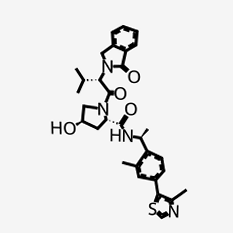 Cc1cc(-c2scnc2C)ccc1[C@H](C)NC(=O)[C@@H]1C[C@@H](O)CN1C(=O)[C@H](C(C)C)N1Cc2ccccc2C1=O